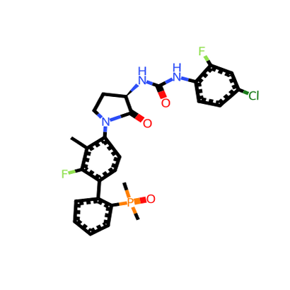 Cc1c(N2CC[C@@H](NC(=O)Nc3ccc(Cl)cc3F)C2=O)ccc(-c2ccccc2P(C)(C)=O)c1F